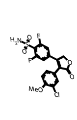 COc1ccc(C2=C(c3cc(F)c(S(N)(=O)=O)c(F)c3)COC2=O)cc1Cl